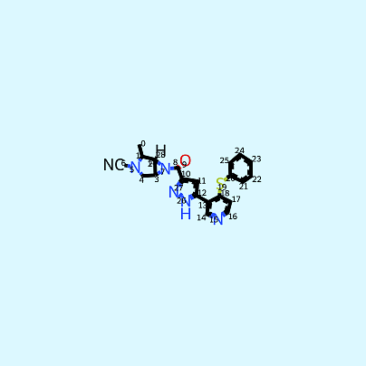 CC1[C@H]2C(CN1C#N)N2C(=O)c1cc(-c2cnccc2Sc2ccccc2)[nH]n1